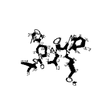 COCCCCn1c(C(=O)N(CC(C)C)[C@H]2C[C@@H](c3ncon3)CN(C(=O)OC(C)(C)C)C2)nc2ccccc21